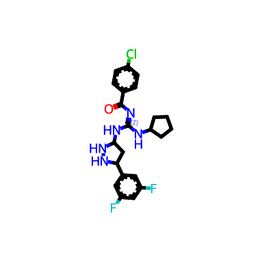 O=C(/N=C(/NC1CCCC1)NC1CC(c2cc(F)cc(F)c2)NN1)c1ccc(Cl)cc1